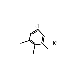 Cc1cccc(C)c1C.[Cl-].[K+]